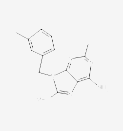 COc1nc2c(N)nc(C)nc2n1Cc1cccc(I)c1